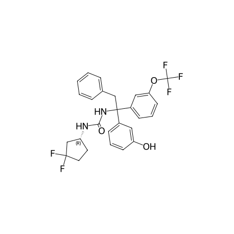 O=C(N[C@@H]1CCC(F)(F)C1)NC(Cc1ccccc1)(c1cccc(O)c1)c1cccc(OC(F)(F)F)c1